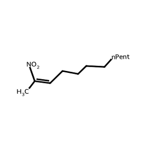 CCCCCCCCC/C=C(/C)[N+](=O)[O-]